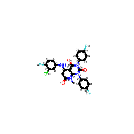 Cn1c(=O)cc(Nc2ccc(F)c(Cl)c2)c2c(=O)n(-c3ccc(F)cc3)c(=O)n(-c3ccc(F)cc3)c21